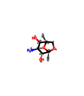 N[C@H]1[C@@H](O)[C@H]2CO[C@H](O2)[C@@H]1O